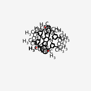 CCC1CC2CCCC(C2)c2cc3c(N(c4cc(C(C)(C)C)cc(C(C)(C)C)c4)c4cc(C(C)(C)C)cc(C(C)(C)C)c4)c4cc5c(cc4c(N(c4cc(C(C)(C)C)cc(C(C)(C)C)c4)c4cc(C(C)(C)C)cc(C(C)(C)C)c4)c3cc21)C1CC(=C5)CC(C)C1